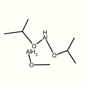 CC(C)[O][AlH][O]C(C)C.C[O][AlH2]